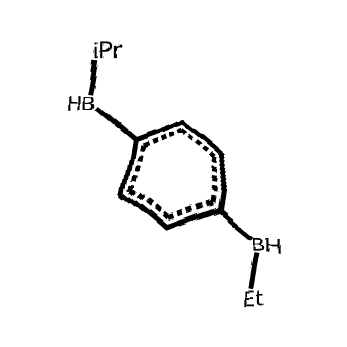 CCBc1ccc(BC(C)C)cc1